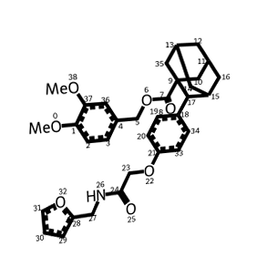 COc1ccc(COC(=O)C23CC4CC(CC(C4)C2c2ccc(OCC(=O)NCc4ccco4)cc2)C3)cc1OC